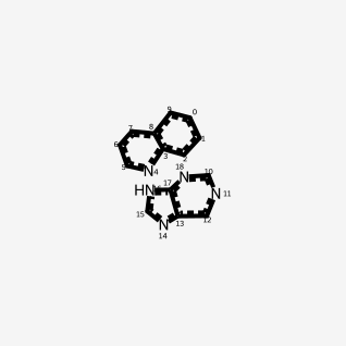 c1ccc2ncccc2c1.c1ncc2nc[nH]c2n1